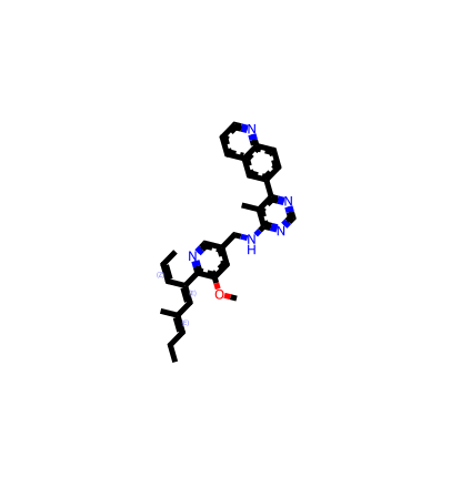 C\C=C/C(=C\C(C)=C\CC)c1ncc(CNc2ncnc(-c3ccc4ncccc4c3)c2C)cc1OC